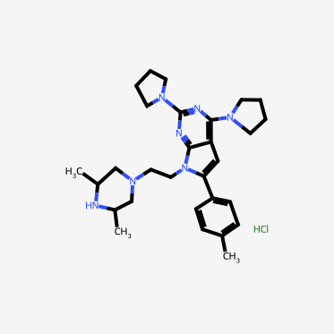 Cc1ccc(-c2cc3c(N4CCCC4)nc(N4CCCC4)nc3n2CCN2CC(C)NC(C)C2)cc1.Cl